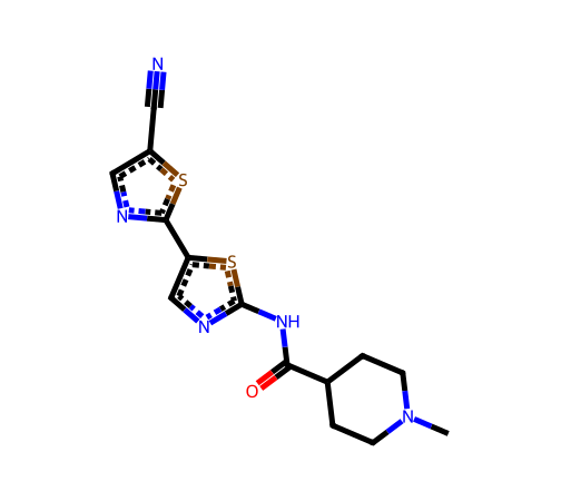 CN1CCC(C(=O)Nc2ncc(-c3ncc(C#N)s3)s2)CC1